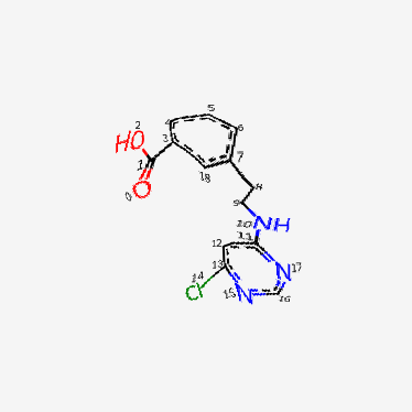 O=C(O)c1cccc(CCNc2cc(Cl)ncn2)c1